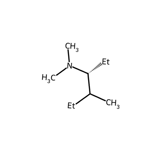 CCC(C)[C@@H](CC)N(C)C